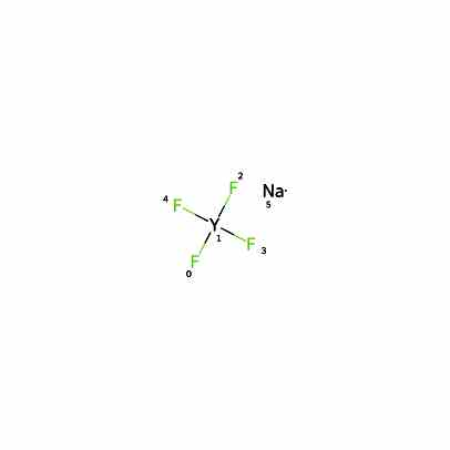 [F][Y]([F])([F])[F].[Na]